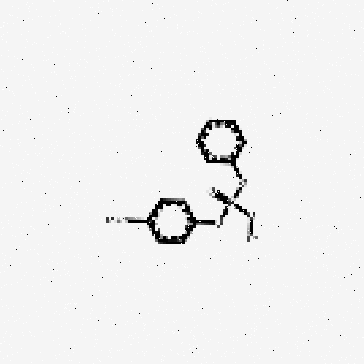 CCOP(=O)(Oc1ccccc1)Oc1ccc(OC)cc1